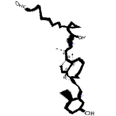 C=C1CCC(O)C/C1=C/C=C1\CCC[C@]2(C)[C@@H]([C@H](C)/C=C/C(O)C3(CCCCCCCC=O)CC3)CC[C@@H]12